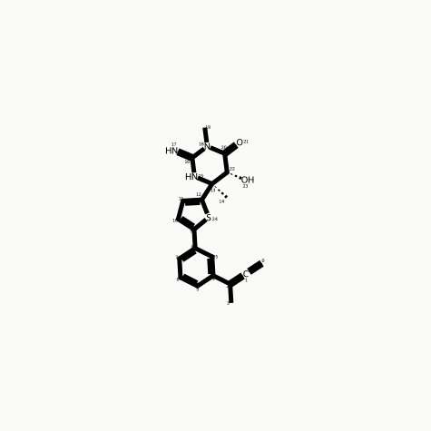 C=C=C(C)c1cccc(-c2ccc([C@@]3(C)NC(=N)N(C)C(=O)[C@@H]3O)s2)c1